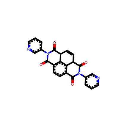 O=C1c2ccc3c4c2C(C=CC4C(=O)N(c2cccnc2)C3=O)C(=O)N1c1cccnc1